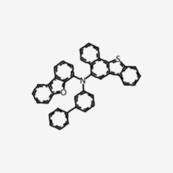 c1ccc(-c2cccc(N(c3cc4c5ccccc5sc4c4ccccc34)c3cccc4c3oc3ccccc34)c2)cc1